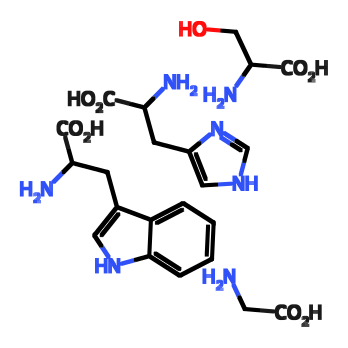 NC(CO)C(=O)O.NC(Cc1c[nH]c2ccccc12)C(=O)O.NC(Cc1c[nH]cn1)C(=O)O.NCC(=O)O